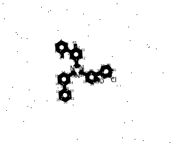 Cc1ccccc1-c1cc(-c2nc(-c3cccc(-c4ccccc4)c3)nc(-c3ccc4oc5c(Cl)cccc5c4c3)n2)ccc1C